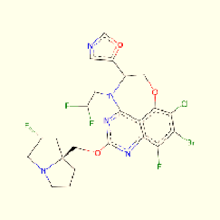 Fc1c(Br)c(Cl)c2c3c(nc(OC[C@@]45CCCN4C[C@H](F)C5)nc13)N(CC(F)F)C(c1cnco1)CO2